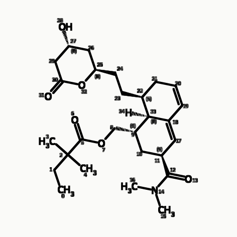 CCC(C)(C)C(=O)OC[C@H]1C[C@H](C(=O)N(C)C)C=C2C=CC[C@H](CC[C@@H]3C[C@@H](O)CC(=O)O3)[C@@H]21